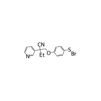 CCC(C#N)(COc1ccc(SBr)cc1)c1cccnc1